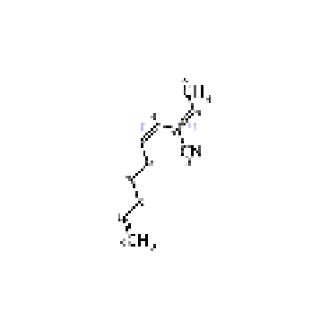 C=CCCC/C=C\C(C#N)=C/C